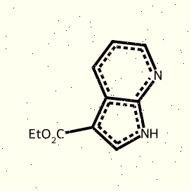 CCOC(=O)c1c[nH]c2ncccc12